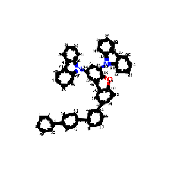 c1ccc(-c2ccc(-c3cccc(-c4ccc5oc6c(-n7c8ccccc8c8ccccc87)cc(-n7c8ccccc8c8ccccc87)cc6c5c4)c3)cc2)cc1